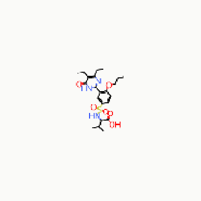 CCCOc1ccc(S(=O)(=O)NC(C(=O)O)C(C)C)cc1-c1nc(CC)c(CC)c(=O)[nH]1